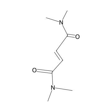 CN(C)C(=O)C=CC(=O)N(C)C